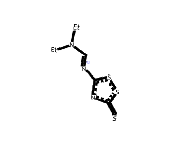 CCN(/C=N/c1nc(=S)ss1)CC